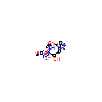 C=CC(=O)N1C[C@H](C)[C@H](C(=O)N(C)[C@H](C(=O)N[C@H]2Cc3cc(O)cc(c3)-c3ccc4c(c3)c(c(-c3ccccc3CN(C)C)n4CC)CC(C)(C)COC(=O)[C@@H]3CCCN(N3)C2=O)C(C)C)C1